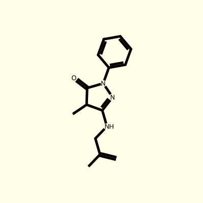 C=C(C)CNC1=NN(c2ccccc2)C(=O)C1C